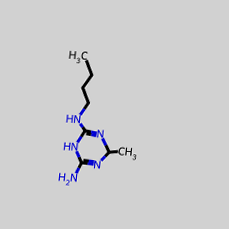 CCCCNC1=NC(C)N=C(N)N1